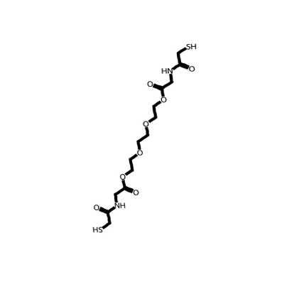 O=C(CS)NCC(=O)OCCOCCOCCOC(=O)CNC(=O)CS